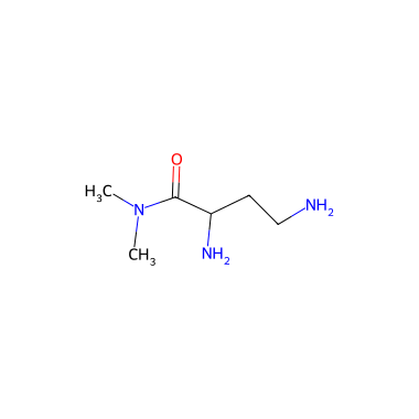 CN(C)C(=O)C(N)CCN